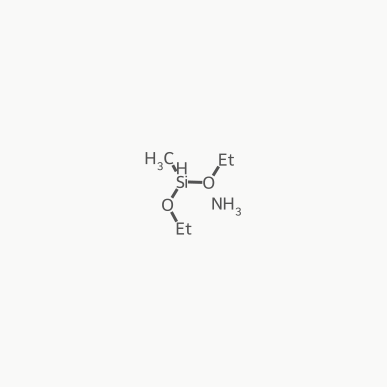 CCO[SiH](C)OCC.N